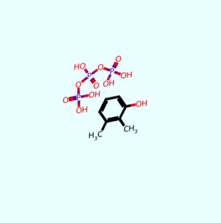 Cc1cccc(O)c1C.O=P(O)(O)OP(=O)(O)OP(=O)(O)O